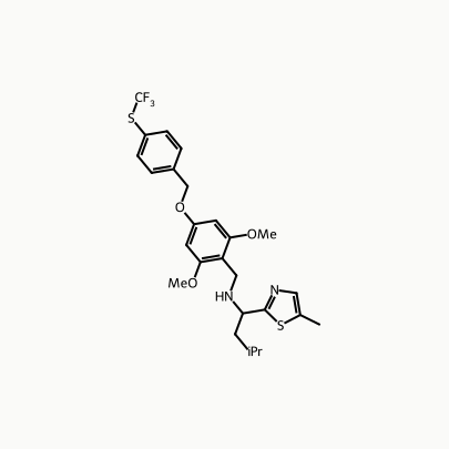 COc1cc(OCc2ccc(SC(F)(F)F)cc2)cc(OC)c1CNC(CC(C)C)c1ncc(C)s1